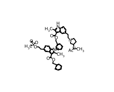 CC(=O)N(C)C1CCN(CCc2ccc3[nH]c(C)c(C(=O)OCc4ccccc4)c3c2)C1.Cc1[nH]c2ccc(CCOS(C)(=O)=O)cc2c1C(=O)OCc1ccccc1